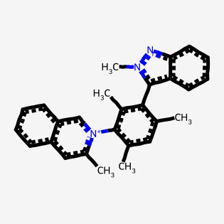 Cc1cc(C)c(-[n+]2cc3ccccc3cc2C)c(C)c1-c1c2ccccc2nn1C